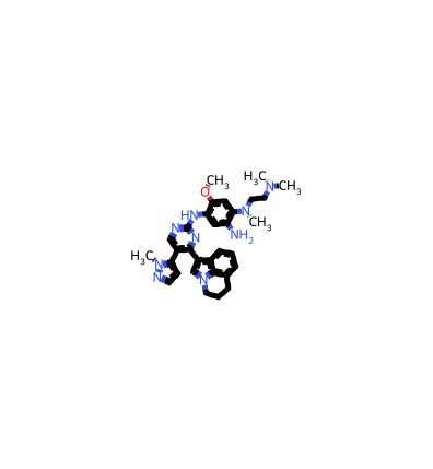 COc1cc(N(C)CCN(C)C)c(N)cc1Nc1ncc(-c2ccnn2C)c(-c2cn3c4c(cccc24)CCC3)n1